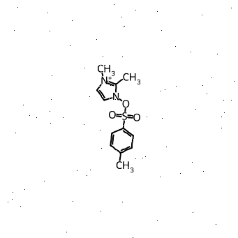 Cc1ccc(S(=O)(=O)On2cc[n+](C)c2C)cc1